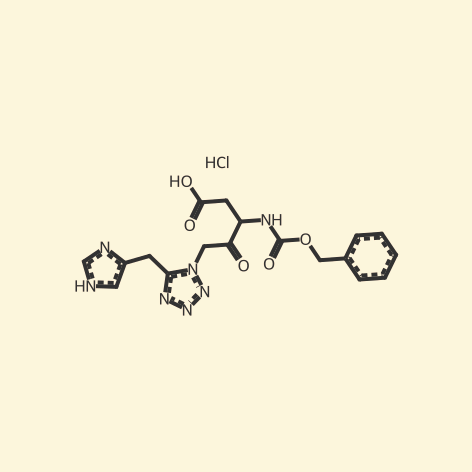 Cl.O=C(O)CC(NC(=O)OCc1ccccc1)C(=O)Cn1nnnc1Cc1c[nH]cn1